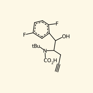 C#CCC(C(O)c1cc(F)ccc1F)N(C(=O)O)C(C)(C)C